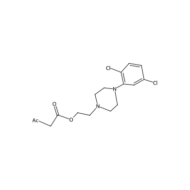 CC(=O)CC(=O)OCCN1CCN(c2cc(Cl)ccc2Cl)CC1